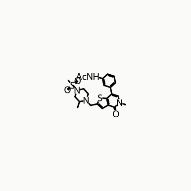 CC(=O)Nc1cccc(-c2cn(C)c(=O)c3cc(CN4CCN(S(C)(=O)=O)CC4C)sc23)c1